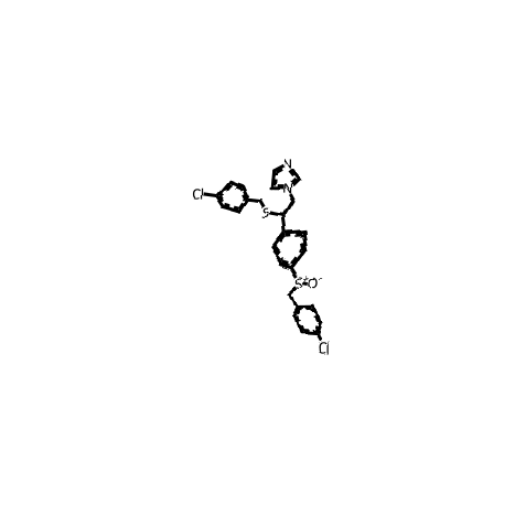 [O-][S+](Cc1ccc(Cl)cc1)c1ccc(C(Cn2ccnc2)SCc2ccc(Cl)cc2)cc1